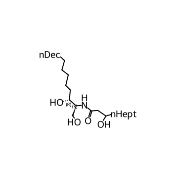 CCCCCCCCCCCCCCC[C@@H](O)[C@H](CO)NC(=O)CC(O)CCCCCCC